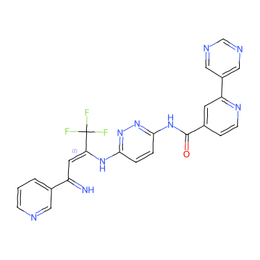 N=C(/C=C(\Nc1ccc(NC(=O)c2ccnc(-c3cncnc3)c2)nn1)C(F)(F)F)c1cccnc1